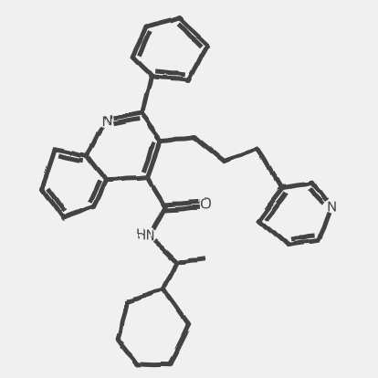 CC(NC(=O)c1c(CCCc2cccnc2)c(-c2ccccc2)nc2ccccc12)C1CCCCC1